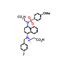 COc1ccc(S(=O)(=O)N(CC(=O)O)c2ccc(N(Cc3ccc(F)cc3)[C@@H](C)CC(=O)O)c3ccccc23)cc1